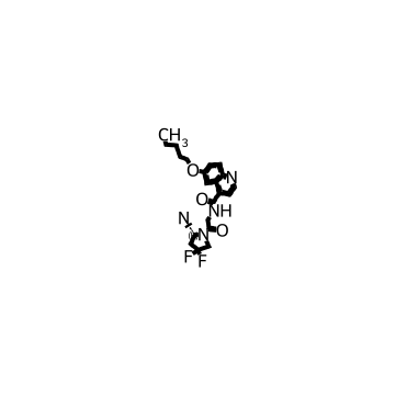 CCCCCOc1ccc2nccc(C(=O)NCC(=O)N3CC(F)(F)C[C@@H]3C#N)c2c1